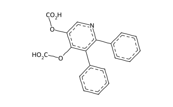 O=C(O)Oc1cnc(-c2ccccc2)c(-c2ccccc2)c1OC(=O)O